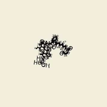 CCC(C)C(C(CC(=O)N1CCCC1C(OC)C(C)C(=O)NCP(O)O)OC)N(C)C(=O)CNC(=O)C1C2CCC(C2)N1C(=O)CCCCCN1C(=O)C=CC1=O